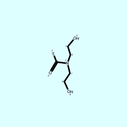 O=C([S])N(CCO)CCO